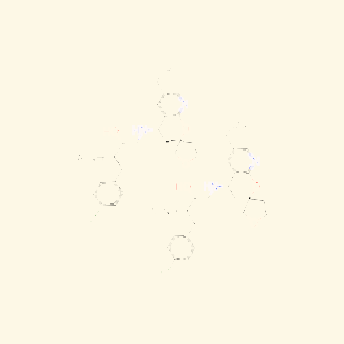 CC(=O)N[C@@H](Cc1ccc(Cl)cc1)[C@H](O)CN[C@@H]1C[C@@]2(CCOC2)Oc2ncc(CC(C)(C)C)cc21.CC(=O)N[C@@H](Cc1ccc(Cl)cc1)[C@H](O)CN[C@@H]1C[C@]2(CCOC2)Oc2ncc(CC(C)(C)C)cc21